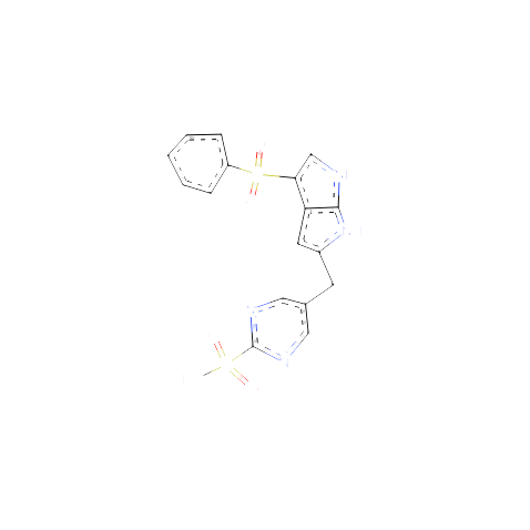 CS(=O)(=O)c1ncc(Cc2cc3c(S(=O)(=O)c4ccccc4)c[nH]c3[nH]2)cn1